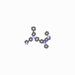 c1ccc(-c2ccc(N(c3ccc(-c4cccnc4)cc3)c3ccc(-c4ccc5c(c4)c4cc6c(ccn6-c6ccccc6)cc4n5-c4ccccc4)cc3)cc2)cc1